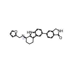 O=C1NCc2cc(-c3ccc4[nH]c5c(c4c3)CCC/C5=N\Cc3ccco3)ccc21